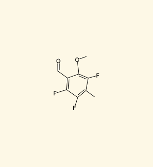 COc1c(F)c(C)c(F)c(F)c1C=O